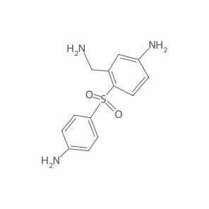 NCc1cc(N)ccc1S(=O)(=O)c1ccc(N)cc1